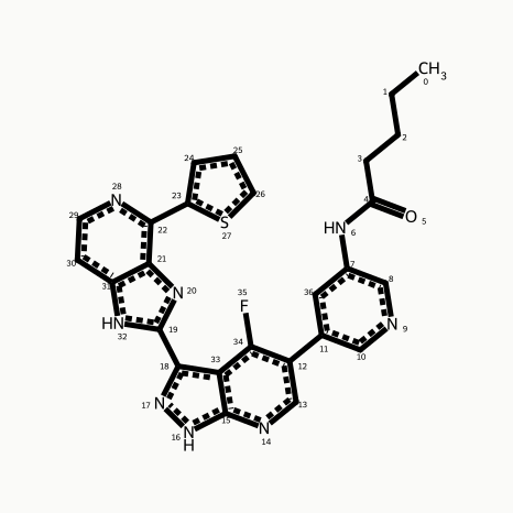 CCCCC(=O)Nc1cncc(-c2cnc3[nH]nc(-c4nc5c(-c6cccs6)nccc5[nH]4)c3c2F)c1